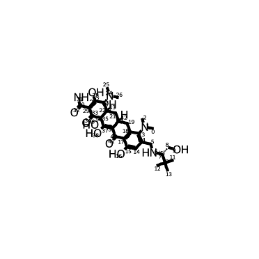 CN(C)c1c(CN[C@H](CO)C(C)(C)C)cc(O)c2c1C[C@H]1C[C@H]3[C@H](N(C)C)C(O)=C(C(N)=O)C(=O)[C@@]3(O)C(O)=C1C2=O